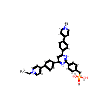 CC[n+]1ccc(-c2ccc(-c3cc(-c4ccc(-c5cc[n+](CC(F)(F)F)cc5)cc4)nc(-c4ccc(CP(=O)(O)O)cc4)n3)cc2)cc1